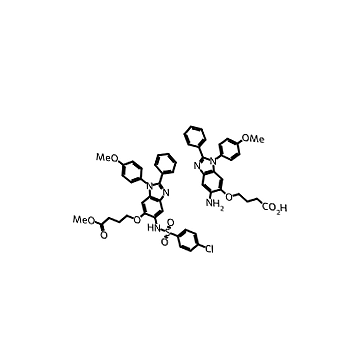 COC(=O)CCCOc1cc2c(cc1NS(=O)(=O)c1ccc(Cl)cc1)nc(-c1ccccc1)n2-c1ccc(OC)cc1.COc1ccc(-n2c(-c3ccccc3)nc3cc(N)c(OCCCC(=O)O)cc32)cc1